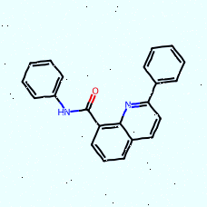 O=C(Nc1ccccc1)c1cccc2ccc(-c3ccccc3)nc12